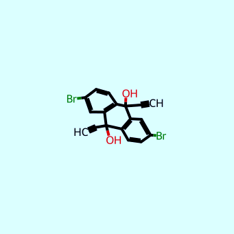 C#CC1(O)c2ccc(Br)cc2C(O)(C#C)c2ccc(Br)cc21